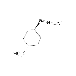 [N-]=[N+]=N[C@H]1CC[C@H](C(=O)O)CC1